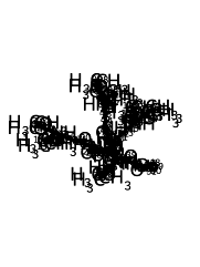 CC(C)(C)OC(=O)CCC(NC(=O)CCCCCNC(=O)CCC(C=O)NC(=O)CCC(NC(=O)C(CCC(=O)NCC(=O)OCc1ccccc1)NC(=O)CNC(=O)OC(C)(C)C)C(=O)NC(CCC(=O)NCCCCCC(=O)NC(CCC(=O)OC(C)(C)C)C(=O)OC(C)(C)C)C(=O)NCCCCCC(=O)NC(CCC(=O)OC(C)(C)C)C(=O)OC(C)(C)C)C(=O)OC(C)(C)C